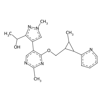 Cc1ncc(-c2cn(C)nc2C(C)O)c(OCC2C(C)C2c2ccccn2)n1